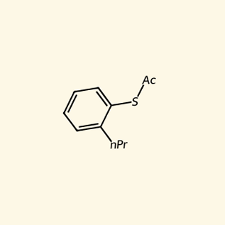 CCCc1ccccc1SC(C)=O